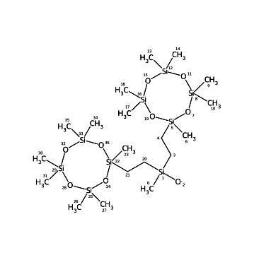 C[Si]([O])(CC[Si]1(C)O[Si](C)(C)O[Si](C)(C)O[Si](C)(C)O1)CC[Si]1(C)O[Si](C)(C)O[Si](C)(C)O[Si](C)(C)O1